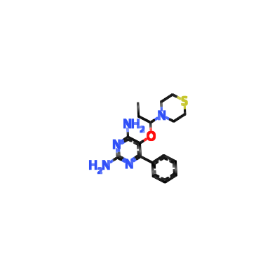 CCC(Oc1c(N)nc(N)nc1-c1ccccc1)N1CCSCC1